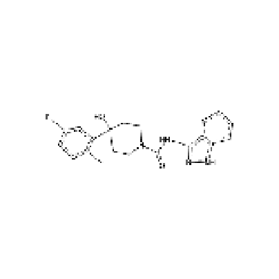 Cc1ccc(F)cc1C1(O)CCN(C(=O)Nc2n[nH]c3ccccc23)CC1